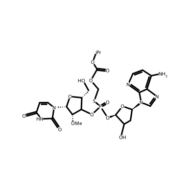 CO[C@H]1C(OP(=O)(O[C@H]2O[C@@H](n3cnc4c(N)ccnc43)CC2O)SCOC(=O)OC(C)C)[C@@H](CO)O[C@H]1n1ccc(=O)[nH]c1=O